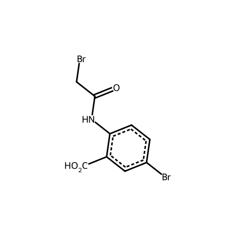 O=C(CBr)Nc1ccc(Br)cc1C(=O)O